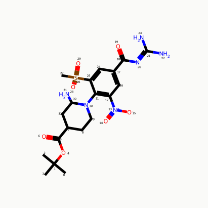 CC(C)(C)OC(=O)C1CCN(c2c([N+](=O)[O-])cc(C(=O)N=C(N)N)cc2S(C)(=O)=O)C(N)C1